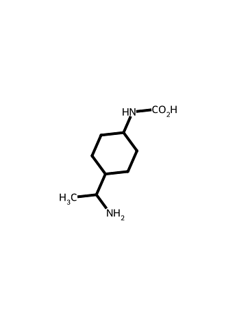 CC(N)C1CCC(NC(=O)O)CC1